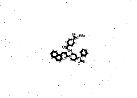 CCC(=O)N(c1ccccc1)C1CCN(C(=O)C(Cc2cccc3ccccc23)NC(=O)C2CCN(C(=O)OC(C)(C)C)CC2)CC1